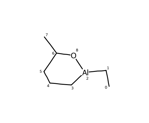 C[CH2][Al]1[CH2]CCC(C)[O]1